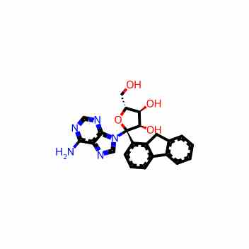 Nc1ncnc2c1ncn2[C@]1(c2cccc3c2Cc2ccccc2-3)O[C@H](CO)[C@@H](O)[C@H]1O